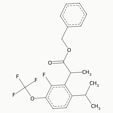 CC(C)c1ccc(OC(F)(F)F)c(F)c1C(C)C(=O)OCc1ccccc1